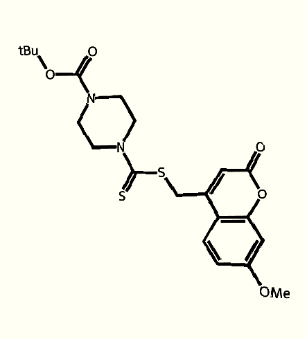 COc1ccc2c(CSC(=S)N3CCN(C(=O)OC(C)(C)C)CC3)cc(=O)oc2c1